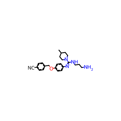 CC1CCN(/C(=N\c2ccc(OCc3ccc(C#N)cc3)cc2)NCCCN)CC1